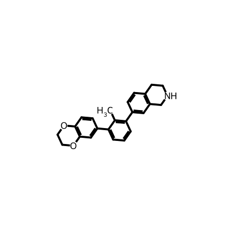 Cc1c(-c2ccc3c(c2)CNCC3)cccc1-c1ccc2c(c1)OCCO2